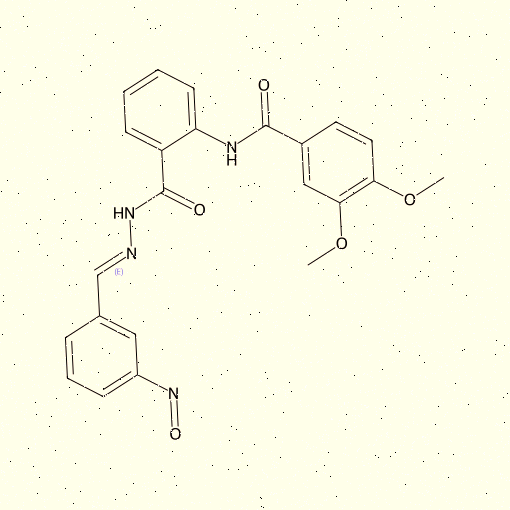 COc1ccc(C(=O)Nc2ccccc2C(=O)N/N=C/c2cccc(N=O)c2)cc1OC